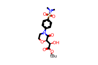 CN(C)S(=O)(=O)c1ccc(N2CCO[C@H]([C@@H](O)C(=O)OC(C)(C)C)C2=O)cc1